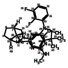 CNc1nc(N[C@H]2[C@@H]3CC[C@H]2CN(c2cnnc(OC)c2)C3)nc2c1C(C)(C)CN2c1cccc(F)c1F